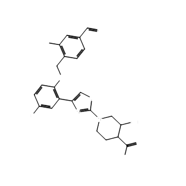 Cc1cc(C=O)ccc1COc1ccc(F)cc1-c1csc(N2CCC(C(=O)O)C(C)C2)n1